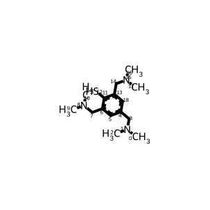 CN(C)Cc1cc(CN(C)C)c(S)c(CN(C)C)c1